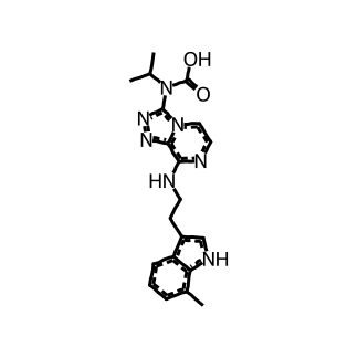 Cc1cccc2c(CCNc3nccn4c(N(C(=O)O)C(C)C)nnc34)c[nH]c12